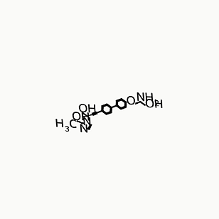 C[C@@H](O)c1nccn1[C@H](C#Cc1ccc(-c2ccc(OCC(N)CO)cc2)cc1)CO